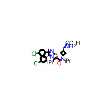 CC(C)C1=C(C(=O)N(C(C)C)[C@H]2C[C@H](CNC(=O)O)C2)SC2=N[C@@](C)(c3ccc(Cl)cc3)[C@@H](c3ccc(Cl)cc3)N21